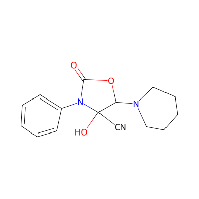 N#CC1(O)C(N2CCCCC2)OC(=O)N1c1ccccc1